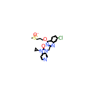 C[S+]([O-])CCCOc1nc(Cn2c(=O)n(C3CC3)c3ccncc32)nc2cc(Cl)ccc12